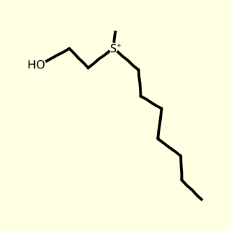 CCCCCCC[S+](C)CCO